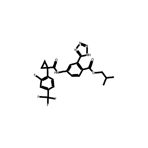 CC(C)COC(=O)c1ccc(NC(=O)C2(c3ccc(C(F)(F)F)cc3F)CC2)cc1-c1nnn[nH]1